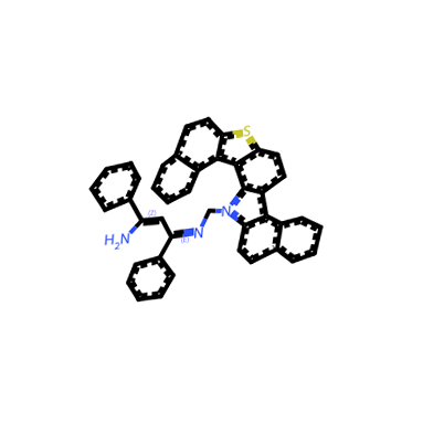 N/C(=C\C(=N/Cn1c2ccc3ccccc3c2c2ccc3sc4ccc5ccccc5c4c3c21)c1ccccc1)c1ccccc1